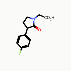 O=C(O)CN1CCC(c2ccc(F)cc2)C1=O